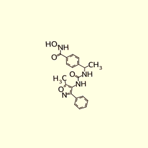 Cc1onc(-c2ccccc2)c1NC(=O)NC(C)c1ccc(C(=O)NO)cc1